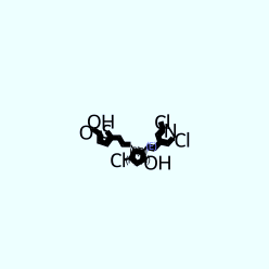 O=C(O)c1ccc(CCC[C@@H]2[C@@H](/C=C/c3cc(Cl)nc(Cl)c3)[C@H](O)C[C@H]2Cl)s1